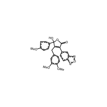 COc1ccc(C2(O)OC(=O)C(c3ccc4nonc4c3)=C2Cc2ccc(OC)c(OC)c2)cc1